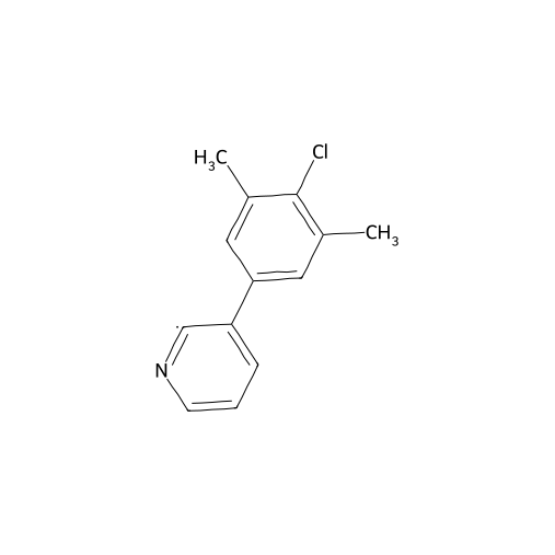 Cc1cc(-c2[c]nccc2)cc(C)c1Cl